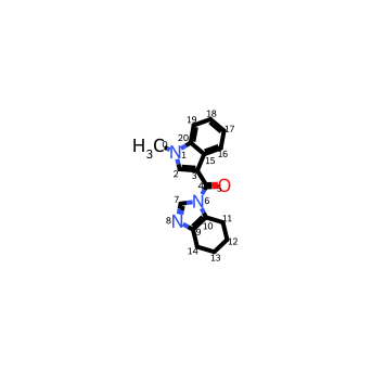 Cn1cc(C(=O)n2cnc3c2CCCC3)c2ccccc21